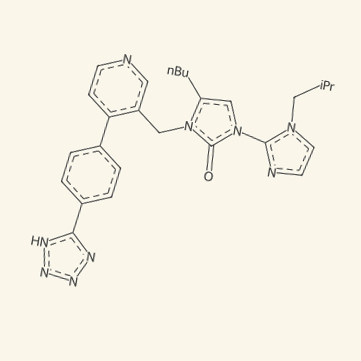 CCCCc1cn(-c2nccn2CC(C)C)c(=O)n1Cc1cnccc1-c1ccc(-c2nnn[nH]2)cc1